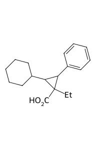 CCC1(C(=O)O)C(c2ccccc2)C1C1CCCCC1